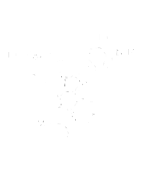 COC(=O)N1c2ccc3c(nc(Cc4ccc(NC(C)=O)c(F)c4)n3[C@H]3CC[C@H](C(=O)O)CC3)c2CC[C@@H]1C